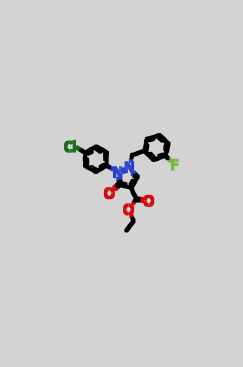 CCOC(=O)c1cn(Cc2cccc(F)c2)n(-c2ccc(Cl)cc2)c1=O